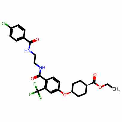 CCOC(=O)[C@H]1CC[C@@H](Oc2ccc(C(=O)NCCNC(=O)c3ccc(Cl)cc3)c(C(F)(F)F)c2)CC1